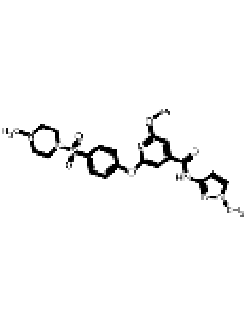 CC(C)Oc1cc(C(=O)Nc2ccn(C)n2)cc(Oc2ccc(S(=O)(=O)N3CCN(C)CC3)cc2)n1